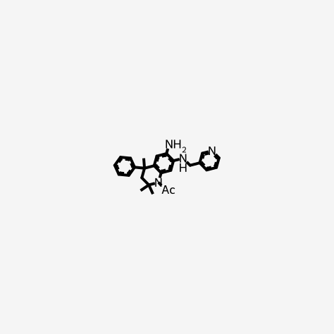 CC(=O)N1c2cc(NCc3cccnc3)c(N)cc2C(C)(c2ccccc2)CC1(C)C